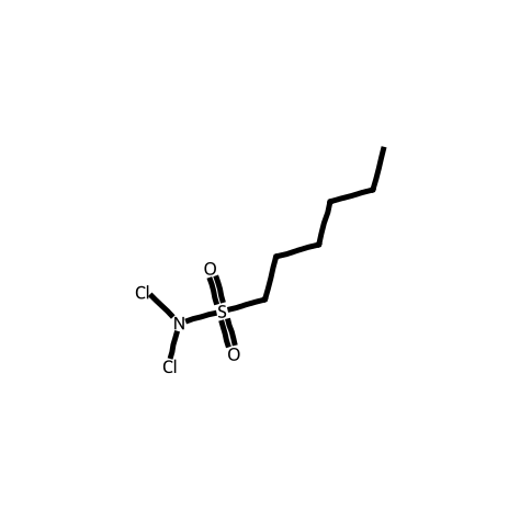 CCCCCCS(=O)(=O)N(Cl)Cl